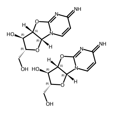 N=c1ccn2c(n1)O[C@H]1[C@H](O)[C@@H](CO)O[C@H]12.N=c1ccn2c(n1)O[C@H]1[C@H](O)[C@@H](CO)O[C@H]12